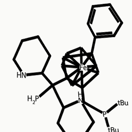 CC(C)(C)P(C[C]12[CH]3[C]4(c5ccccc5)[CH]5[C]1(C(P)(C1CCCCN1)C1CCCCN1)[Fe]35421678[CH]2[CH]1[CH]6[CH]7[CH]28)C(C)(C)C